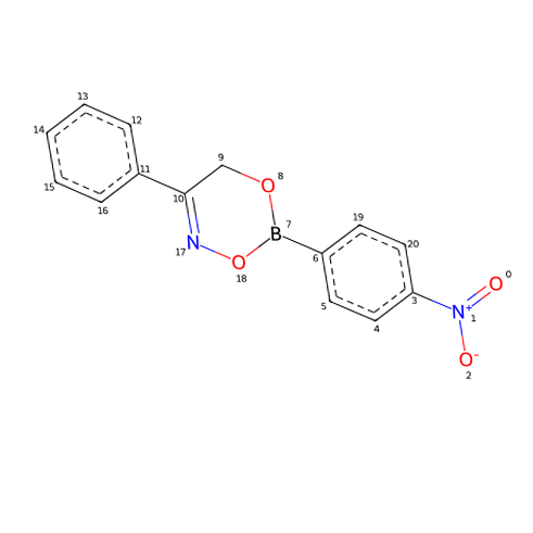 O=[N+]([O-])c1ccc(B2OCC(c3ccccc3)=NO2)cc1